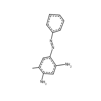 Cc1cc(N=Nc2ccccc2)c(N)cc1N